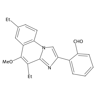 CCc1ccc2c(c1)c(OC)c(CC)c1nc(-c3ccccc3C=O)cn12